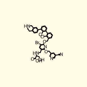 C[C@@](CO)(NCc1cc(Br)c(OCc2cccc(-c3cccc(-c4ccc5c(c4)CNCC5)c3Cl)c2Cl)nc1OCc1cncc(C#N)c1)C(=O)O